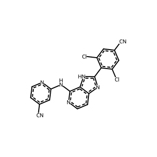 N#Cc1ccnc(Nc2nccc3nc(-c4c(Cl)cc(C#N)cc4Cl)[nH]c23)c1